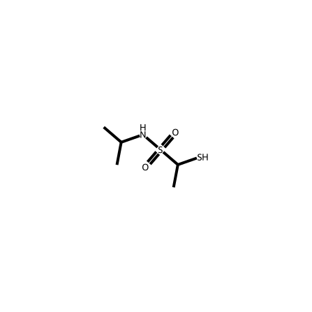 CC(C)NS(=O)(=O)C(C)S